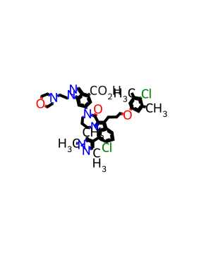 Cc1cc(OCCCc2c3n(c4c(-c5c(C)nn(C)c5C)c(Cl)ccc24)CCCN(c2cc(C(=O)O)c4cnn(CCN5CCOCC5)c4c2)C3=O)cc(C)c1Cl